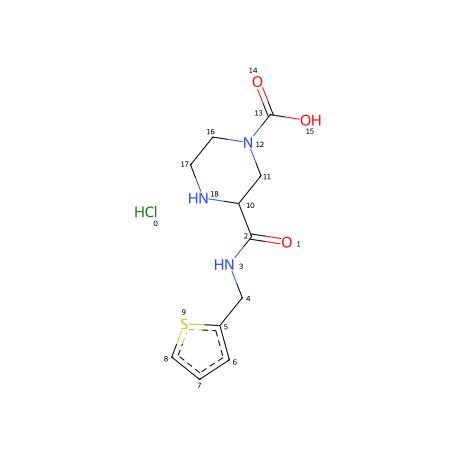 Cl.O=C(NCc1cccs1)C1CN(C(=O)O)CCN1